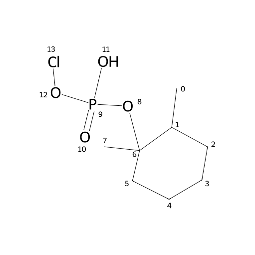 CC1CCCCC1(C)OP(=O)(O)OCl